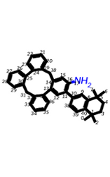 CC1(C)CCC(C)(C)c2cc(-c3cc4c(cc3N)Cc3ccccc3-c3ccccc3Cc3ccccc3-4)ccc21